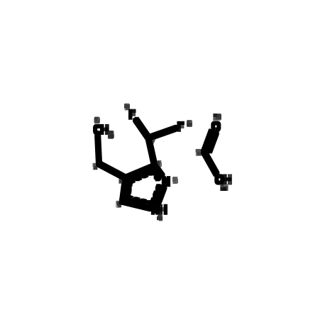 CCc1c[nH]nc1C(F)F.O=CO